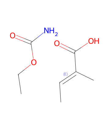 C/C=C(\C)C(=O)O.CCOC(N)=O